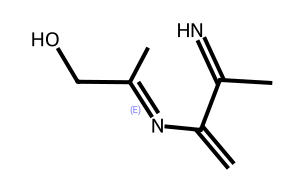 C=C(/N=C(\C)CO)C(C)=N